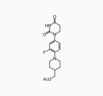 CC(=O)OCC1CCN(c2ccc(N3CCC(=O)NC3=O)cc2F)CC1